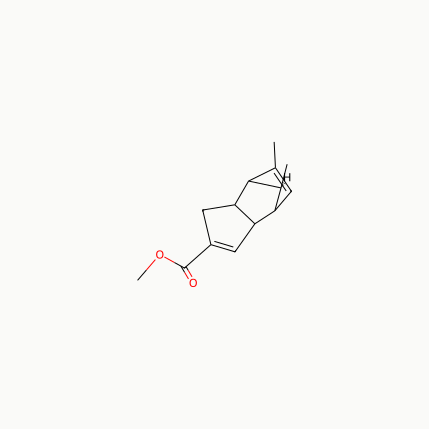 COC(=O)C1=CC2C(C1)C1C(C)=CC2[C@@H]1C